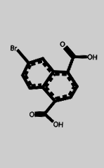 O=C(O)c1ccc(C(=O)O)c2cc(Br)ccc12